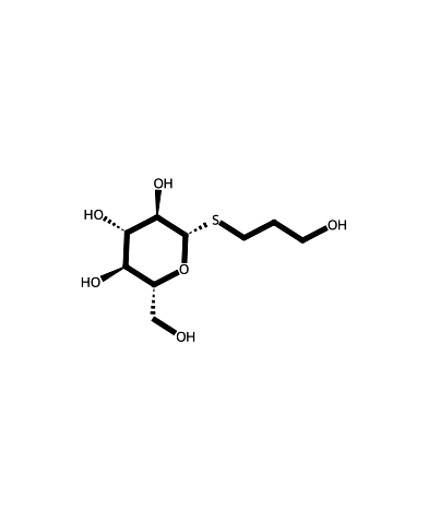 OCCCS[C@@H]1O[C@H](CO)[C@@H](O)[C@H](O)[C@H]1O